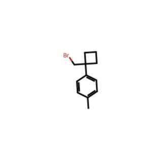 Cc1ccc(C2(CBr)CCC2)cc1